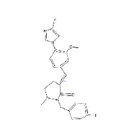 COc1cc(/C=C2\CCN(C)N(Cc3ccc(F)cc3)C2=O)ccc1-n1cnc(C)c1